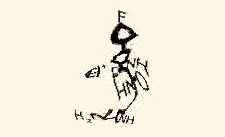 NC[C@@H]1CN[C@H](CNC(=O)c2[nH]c3cc(-c4ccc(F)cc4)ccc3c2F)C1.[Cl-].[H+]